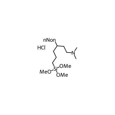 CCCCCCCCCC(CCC[Si](OC)(OC)OC)CCN(C)C.Cl